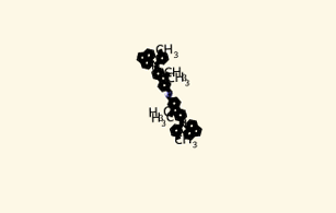 Cc1cccc(N(c2ccc3c(c2)C(C)(C)c2cc(/C=C/c4ccc5c(c4)C(C)(C)c4cc(N(c6cccc(C)c6)c6ccc7c8c(cccc68)CC7)ccc4-5)ccc2-3)c2ccc3c4c(cccc24)CC3)c1